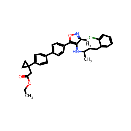 CCOC(=O)CC1(c2ccc(-c3ccc(-c4onc(C)c4NC(C)CCc4ccccc4Cl)cc3)cc2)CC1